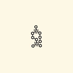 c1ccc(-c2ccc(-c3cccc(-c4nc(-c5ccccc5)nc(-c5cccc(-c6cccc(-c7cccc(-c8nc(-c9ccccc9)nc(-c9ccccc9)n8)c7)c6)c5)n4)c3)cc2)cc1